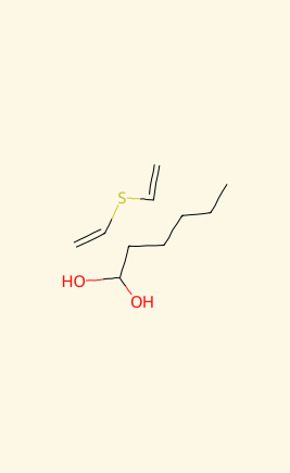 C=CSC=C.CCCCCC(O)O